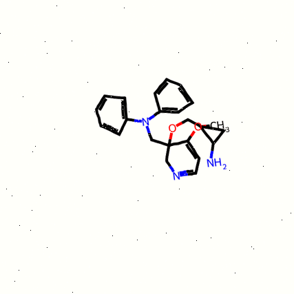 COC1=CC=NCC1(CN(c1ccccc1)c1ccccc1)OCC1CC1N